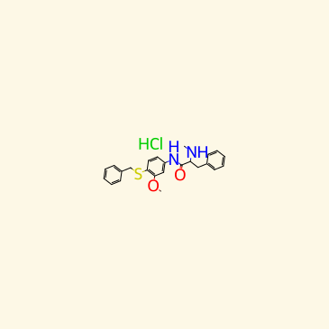 CNC(Cc1ccccc1)C(=O)Nc1ccc(SCc2ccccc2)c(OC)c1.Cl